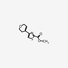 COC(=O)c1nc(C2=CCOCC2)cs1